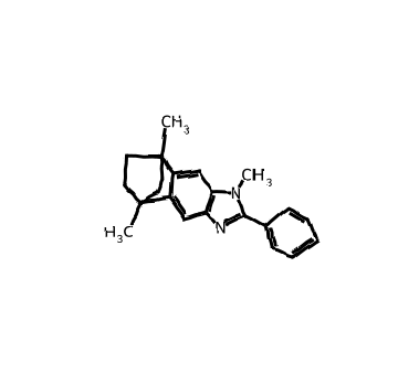 Cn1c(-c2ccccc2)nc2cc3c(cc21)C1(C)CCC3(C)CC1